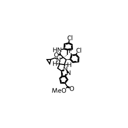 COC(=O)c1ccc2c3n(nc2c1)[C@@H]1[C@H](C3)N(CC2CC2)[C@]2(Cc3ccc(Cl)cc3NC2=O)[C@H]1c1cccc(Cl)c1F